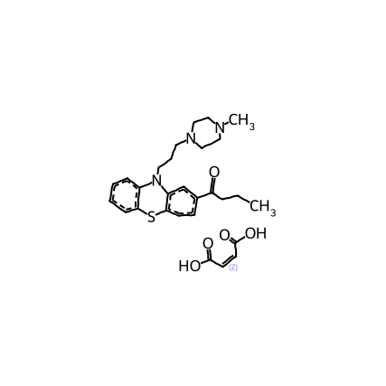 CCCC(=O)c1ccc2c(c1)N(CCCN1CCN(C)CC1)c1ccccc1S2.O=C(O)/C=C\C(=O)O